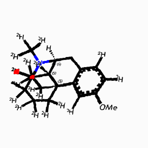 [2H]c1c([2H])c(OC)c([2H])c2c1C[C@@H]1N(C([2H])([2H])[2H])C([2H])([2H])C([2H])([2H])[C@]23C([2H])([2H])C([2H])([2H])C([2H])(C)C([2H])([2H])[C@]13[2H]